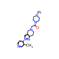 Cc1cnccc1-n1cc2c(n1)CCN(CC(=O)N1CCN(C(C)C)CC1)C2